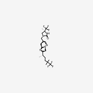 C[C@@H](CCC(C)(C)C(F)(F)F)c1cn2ncc(CN3C[C@@](C)(C(F)(F)F)NC3=O)cc2n1